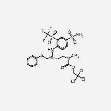 CN(CC[C@H](CSc1ccccc1)Nc1ccc(S(N)(=O)=O)cc1S(=O)(=O)C(F)(F)F)C(=O)OCC(Cl)(Cl)Cl